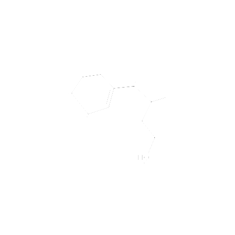 CC(CCO)CC1=CCCCC1